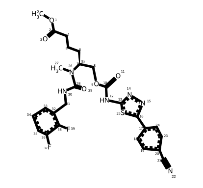 COC(=O)CCC[C@@H](COC(=O)Nc1nnc(-c2ccc(C#N)cc2)s1)N(C)C(=O)NCc1cccc(F)c1F